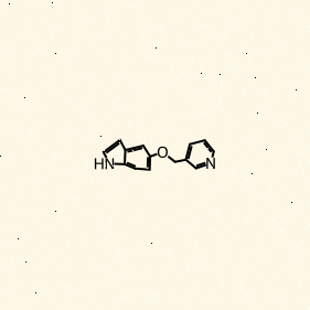 c1cncc(COc2ccc3[nH]ccc3c2)c1